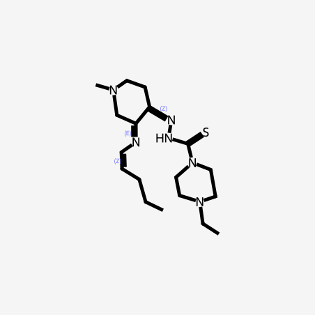 CCC\C=C/N=C1\CN(C)CC\C1=N\NC(=S)N1CCN(CC)CC1